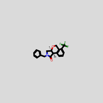 C[C@@]12CN(Cc3ccccc3)C(=O)[C@@H]1c1cccc(C(F)(F)F)c1CO2